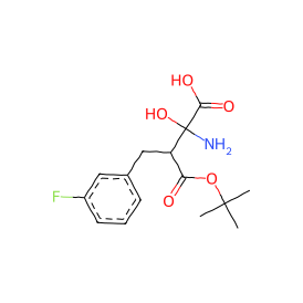 CC(C)(C)OC(=O)C(Cc1cccc(F)c1)C(N)(O)C(=O)O